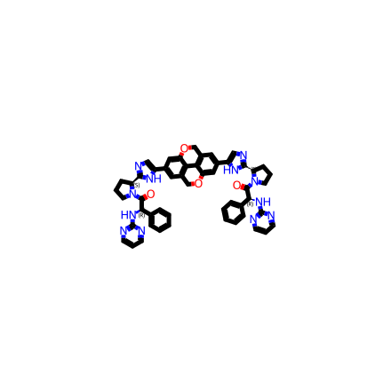 O=C([C@H](Nc1ncccn1)c1ccccc1)N1CCC[C@H]1c1ncc(-c2cc3c4c(c2)OCc2cc(-c5cnc([C@@H]6CCCN6C(=O)[C@H](Nc6ncccn6)c6ccccc6)[nH]5)cc(c2-4)OC3)[nH]1